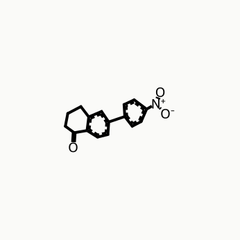 O=C1CCCc2cc(-c3ccc([N+](=O)[O-])cc3)ccc21